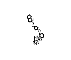 c1ccc2nc(COc3ccc(OCc4cccc5oc(-c6nnn[nH]6)nc45)cc3)ccc2c1